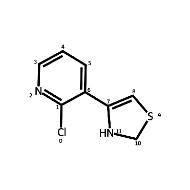 Clc1ncccc1C1=CSCN1